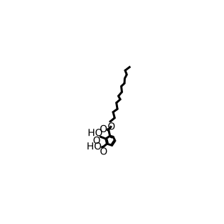 CCCCCCCCCCCCCCOC(=O)c1cccc(C(=O)O)c1C(=O)O